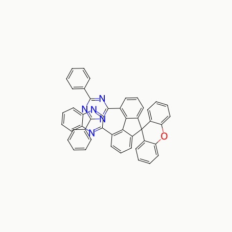 c1ccc(-c2nc(-c3ccccc3)nc(-c3cccc4c3-c3c(-c5cnc6ccccc6n5)cccc3C43c4ccccc4Oc4ccccc43)n2)cc1